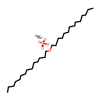 CCCCCCCCCCCCCCOCCCCCCCCCCCCCC.O=S(=O)([O-])[O-].[Na+].[Na+]